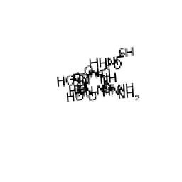 N=C(N)NCCCC1NC(=O)[C@@H](CCCCNC(=O)CCS)NC(=O)[C@@H](Cc2ccc(O)cc2)NC(=O)C(O)(CC(=O)O)NC(=O)CNC1=O